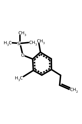 C=CCc1cc(C)c(O[Si](C)(C)C)c(C)c1